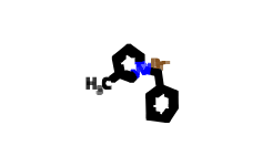 Cc1ccc[n+](Cc2ccccc2)c1.[Br-]